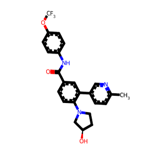 Cc1ccc(-c2cc(C(=O)Nc3ccc(OC(F)(F)F)cc3)ccc2N2CC[C@@H](O)C2)cn1